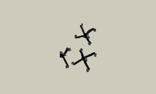 C[N+](C)(C)C.C[N+](C)(C)C.C[Si-2]C